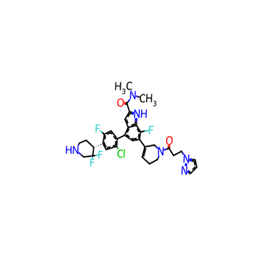 CN(C)C(=O)c1cc2c(-c3cc(F)c([C@H]4CCNCC4(F)F)cc3Cl)cc(C3=CCCN(C(=O)CCn4cccn4)C3)c(F)c2[nH]1